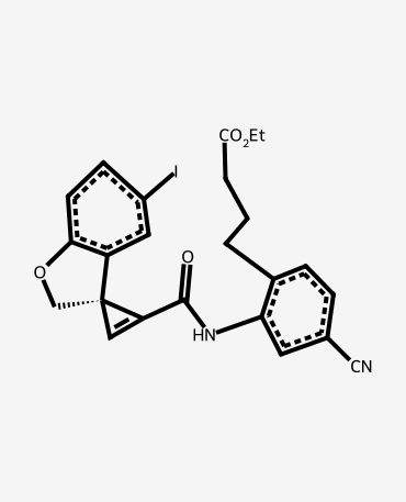 CCOC(=O)CCCc1ccc(C#N)cc1NC(=O)C1=C[C@]12COc1ccc(I)cc12